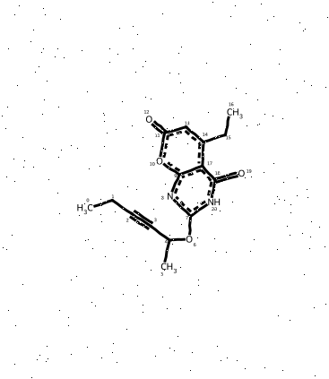 CCC#CC(C)Oc1nc2oc(=O)cc(CC)c2c(=O)[nH]1